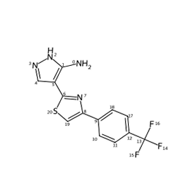 Nc1[nH]ncc1-c1nc(-c2ccc(C(F)(F)F)cc2)cs1